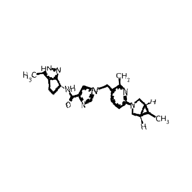 Cc1nc(N2C[C@@H]3C(C)[C@@H]3C2)ccc1Cn1cnc(C(=O)N[C@@H]2CCc3c2n[nH]c3C)c1